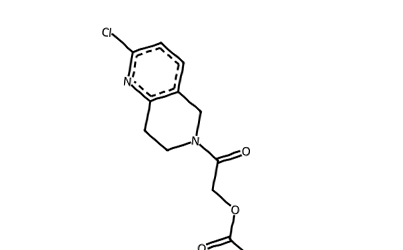 CC(=O)OCC(=O)N1CCc2nc(Cl)ccc2C1